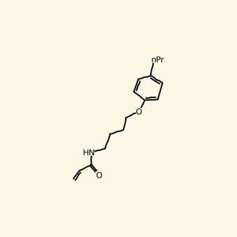 C=CC(=O)NCCCCOc1ccc(CCC)cc1